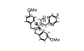 COc1ccc(CN(Cc2ccc(OC)cc2)S(=O)(=O)[C@@H](CO)Cc2ncc(C)cn2)cc1